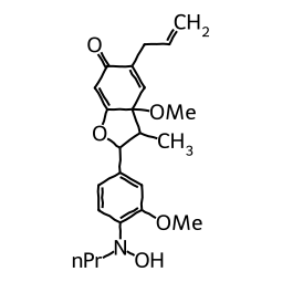 C=CCC1=CC2(OC)C(=CC1=O)OC(c1ccc(N(O)CCC)c(OC)c1)C2C